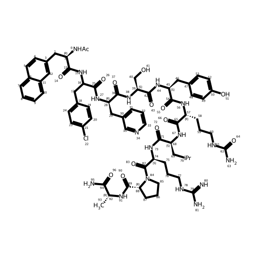 CC(=O)N[C@H](Cc1ccc2ccccc2c1)C(=O)NC(Cc1ccc(Cl)cc1)C(=O)N[C@H](Cc1cccnc1)C(=O)N[C@@H](CO)C(=O)N[C@@H](Cc1ccc(O)cc1)C(=O)N[C@H](CCCNC(N)=O)C(=O)N[C@@H](CC(C)C)C(=O)N[C@@H](CCCNC(=N)N)C(=O)N1CCC[C@@H]1C(=O)N[C@H](C)C(N)=O